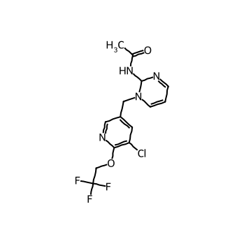 CC(=O)NC1N=CC=CN1Cc1cnc(OCC(F)(F)F)c(Cl)c1